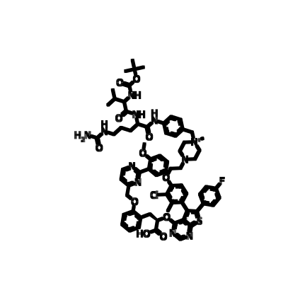 COc1ccccc1-c1nccc(COc2ccccc2C[C@@H](Oc2ncnc3sc(-c4ccc(F)cc4)c(-c4ccc(OCCN5CC[N+](C)(Cc6ccc(NC(=O)C(CCCNC(N)=O)NC(=O)C(NC(=O)OC(C)(C)C)C(C)C)cc6)CC5)c(Cl)c4C)c23)C(=O)O)n1